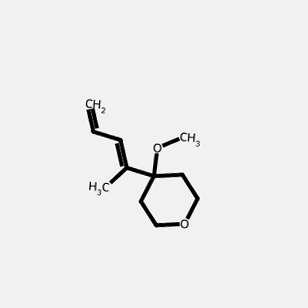 C=C/C=C(\C)C1(OC)CCOCC1